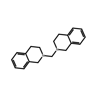 c1ccc2c(c1)CCN(CN1CCc3ccccc3C1)C2